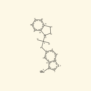 CC(C)(C)c1csc2ccc(CC(C)(C)N3CCc4ccccc43)cc12